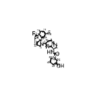 O=C(NC1C=NN2C=CC(N3CCC[C@@H]3c3cc(F)ccc3C(F)F)=NC12)N1CCC[C@@H](O)C1